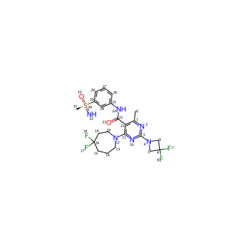 Cc1nc(N2CC(F)(F)C2)nc(N2CCCC(F)(F)CC2)c1C(=O)Nc1cccc([S@](C)(=N)=O)c1